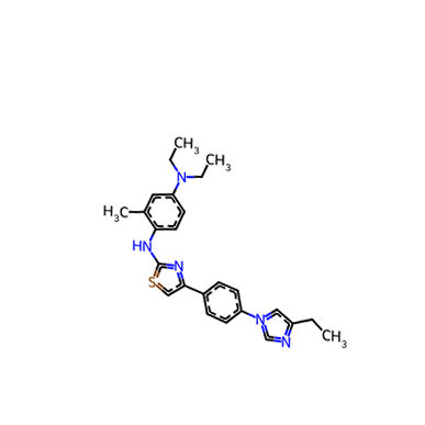 CCc1cn(-c2ccc(-c3csc(Nc4ccc(N(CC)CC)cc4C)n3)cc2)cn1